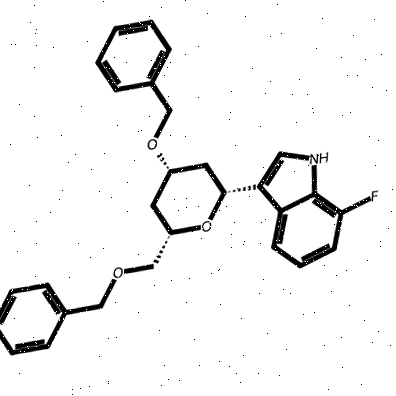 Fc1cccc2c([C@H]3C[C@@H](OCc4ccccc4)C[C@@H](COCc4ccccc4)O3)c[nH]c12